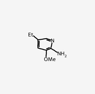 CCc1cnc(N)c(OC)c1